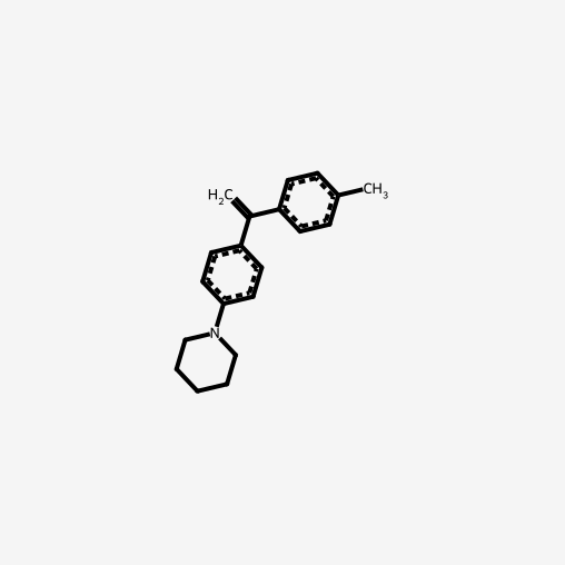 C=C(c1ccc(C)cc1)c1ccc(N2CCCCC2)cc1